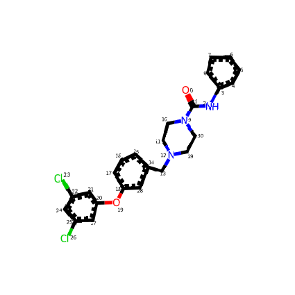 O=C(Nc1ccccc1)N1CCN(Cc2cccc(Oc3cc(Cl)cc(Cl)c3)c2)CC1